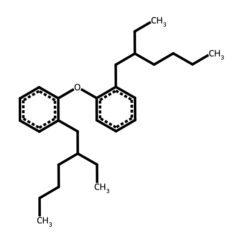 CCCCC(CC)Cc1ccccc1Oc1ccccc1CC(CC)CCCC